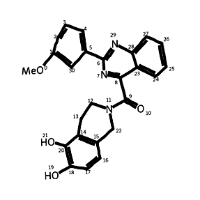 COc1cccc(-c2nc(C(=O)N3CCc4c(ccc(O)c4O)C3)c3ccccc3n2)c1